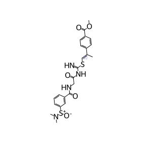 COC(=O)c1ccc(/C(C)=C/SC(=N)NC(=O)CNC(=O)c2cccc([S+]([O-])N(C)C)c2)cc1